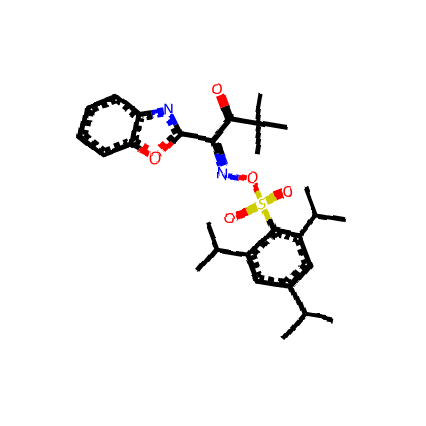 CC(C)c1cc(C(C)C)c(S(=O)(=O)O/N=C(\C(=O)C(C)(C)C)c2nc3ccccc3o2)c(C(C)C)c1